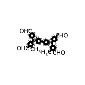 Cc1cc(N(c2ccc(C=O)cc2)c2ccc(-c3ccc(N(c4ccc(C=O)cc4)c4ccc(C=O)c(C)c4)cc3)cc2)ccc1C=O